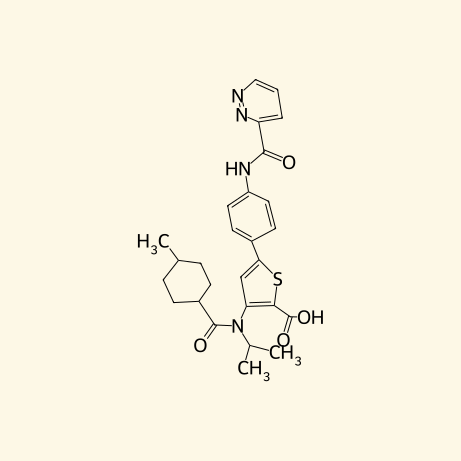 CC1CCC(C(=O)N(c2cc(-c3ccc(NC(=O)c4cccnn4)cc3)sc2C(=O)O)C(C)C)CC1